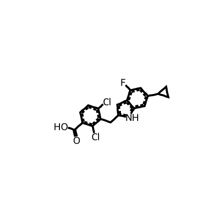 O=C(O)c1ccc(Cl)c(Cc2cc3c(F)cc(C4CC4)cc3[nH]2)c1Cl